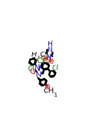 COc1ccc(CN2Cc3c(-c4ccccc4Cl)cc(S(=O)(=O)N4CCNCC4C)cc3N(c3c(Cl)cccc3Cl)C2=O)cc1